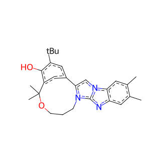 Cc1cc2nc3n4c(cn3c2cc1C)-c1cc(C(C)(C)C)c(O)c(c1)C(C)(C)OCCC4